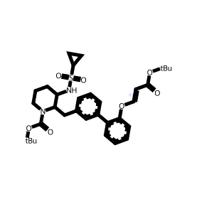 CC(C)(C)OC(=O)/C=C/Oc1ccccc1-c1cccc(CC2C(NS(=O)(=O)C3CC3)CCCN2C(=O)OC(C)(C)C)c1